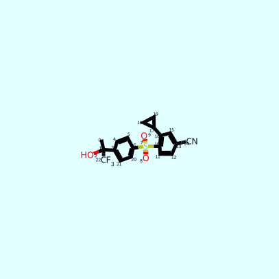 CC(O)(c1ccc(S(=O)(=O)c2ccc(C#N)cc2C2CC2)cc1)C(F)(F)F